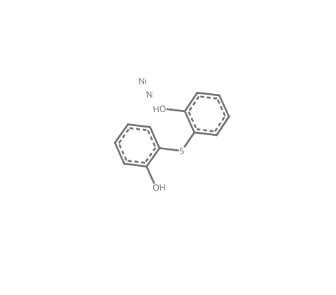 Oc1ccccc1Sc1ccccc1O.[N].[Ni]